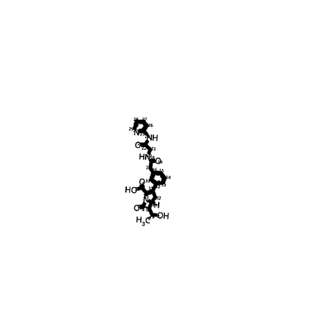 C[C@@H](O)[C@H]1C(=O)N2C(C(=O)O)=C(c3cccc(CC(=O)NCC(=O)Nc4ccccn4)c3)C[C@H]12